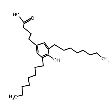 CCCCCCCCc1cc(CCCC(=O)O)cc(CCCCCCCC)c1O